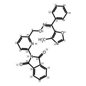 Cc1ncoc1/C(=N\OCc1cccc(N2C(=O)c3ccccc3C2=O)n1)c1ccccc1